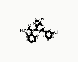 Cn1cnc2c(N(C(N)=O)c3c(F)cccc3F)nc(-c3cccc(Cl)c3)nc21